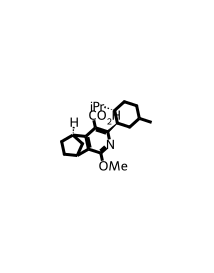 COc1nc([C@@H]2CC(C)CC[C@H]2C(C)C)c(C(=O)O)c2c1C1CC[C@@H]2C1